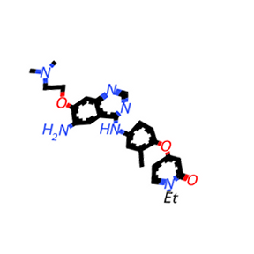 CCn1ccc(Oc2ccc(Nc3ncnc4cc(OCCN(C)C)c(N)cc34)cc2C)cc1=O